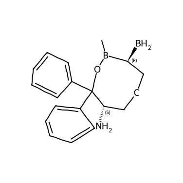 B[C@H]1CCC[C@H](N)C(c2ccccc2)(c2ccccc2)OB1C